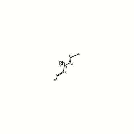 CC=CCC=CC.[Rh]